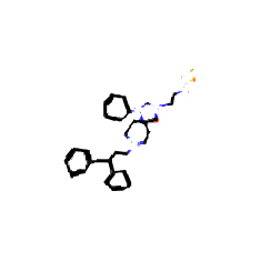 CS(=O)(=O)NCCN1CN(c2ccccc2)C2(CCN(CCC(c3ccccc3)c3ccccc3)CC2)C1=O